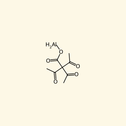 CC(=O)C(C(C)=O)(C(C)=O)C(=O)[O][AlH2]